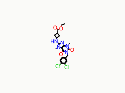 CCOC(=O)[C@H]1C[C@@H](Nc2nc3c(c(=O)n(Cc4ccc(Cl)c(Cl)c4)c(=O)n3C)n2C)C1